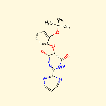 CC(C)(C)Oc1ccccc1OC1C(=O)N=C(c2ncccn2)NC1=O